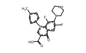 Cc1ccc(-n2cc(C(=O)O)c(=O)c3cc(F)c(N4CCNCC4)c(F)c32)cc1